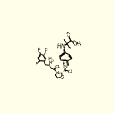 CC(C)(Nc1ccc(CNC(=O)[C@@H]2SCCN2C(=O)C[C@H](N)Cc2cc(F)c(F)cc2F)cc1)C(=O)O